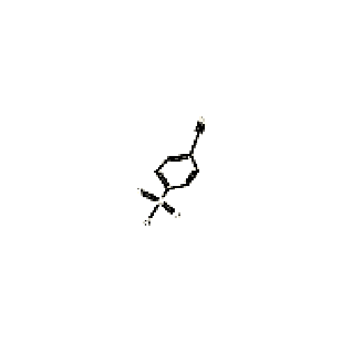 N#Cc1ccc(S([O])(=O)=O)cc1